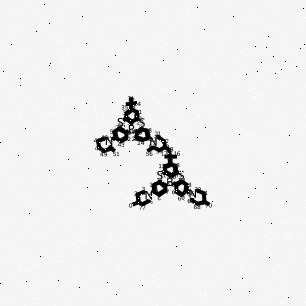 CC1CCN(c2ccc3c(c2)Sc2cc(C(C)(C)CC4CCN(c5ccc6c(c5)Sc5cc(C(C)(C)C)cc7c5B6c5ccc(N6CCCCC6C)cc5S7)C(C)C4)cc4c2B3c2ccc(N3CCC(C)CC3)cc2S4)CC1